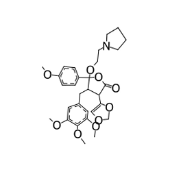 COc1ccc(C2(OCCN3CCCC3)OC(=O)C(C3=COCO3)C2Cc2cc(OC)c(OC)c(OC)c2)cc1